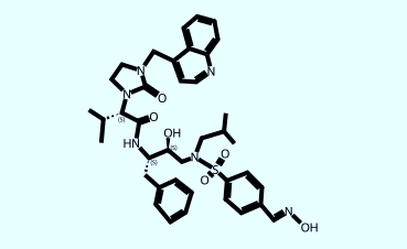 CC(C)CN(C[C@H](O)[C@H](Cc1ccccc1)NC(=O)[C@H](C(C)C)N1CCN(Cc2ccnc3ccccc23)C1=O)S(=O)(=O)c1ccc(C=NO)cc1